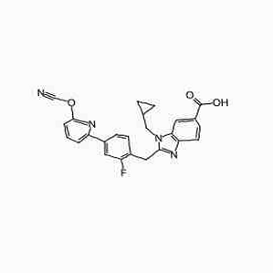 N#COc1cccc(-c2ccc(Cc3nc4ccc(C(=O)O)cc4n3CC3CC3)c(F)c2)n1